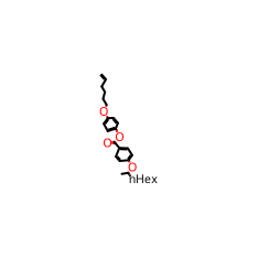 C=CCCCCOc1ccc(OC(=O)c2ccc(OC(C)CCCCCC)cc2)cc1